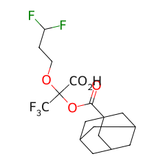 O=C(OC(OCCC(F)F)(C(=O)O)C(F)(F)F)C12CC3CC(CC(C3)C1)C2